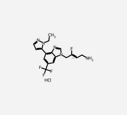 CCn1nccc1-c1cc(C(F)(F)F)cc2c1ncn2C/C(F)=C/CN.Cl